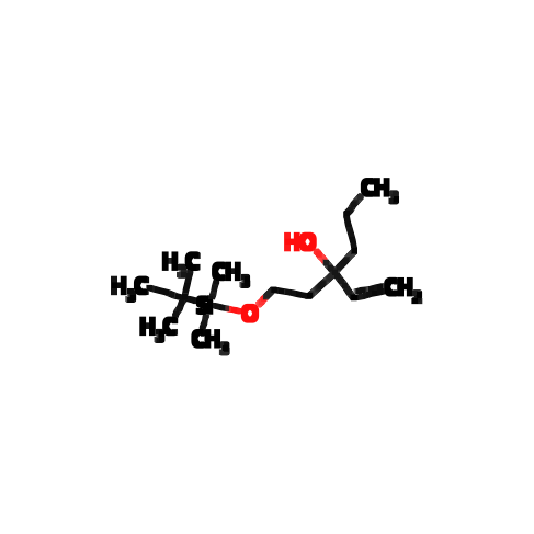 C=CC(O)(CCC)CCO[Si](C)(C)C(C)(C)C